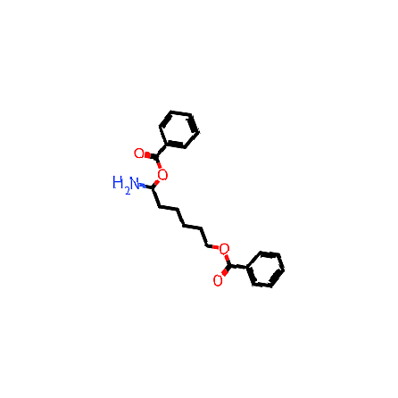 NC(CCCCCOC(=O)c1ccccc1)OC(=O)c1ccccc1